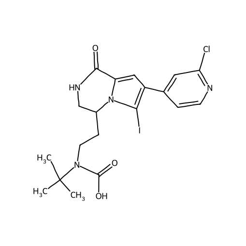 CC(C)(C)N(CCC1CNC(=O)c2cc(-c3ccnc(Cl)c3)c(I)n21)C(=O)O